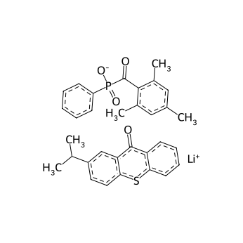 CC(C)c1ccc2sc3ccccc3c(=O)c2c1.Cc1cc(C)c(C(=O)P(=O)([O-])c2ccccc2)c(C)c1.[Li+]